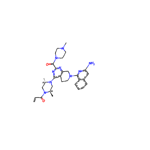 C=CC(=O)N1C[C@H](C)N(c2nc(C(=O)N3CCN(C)CC3)nc3c2CCN(c2nc(N)cc4ccccc24)C3)C[C@H]1C